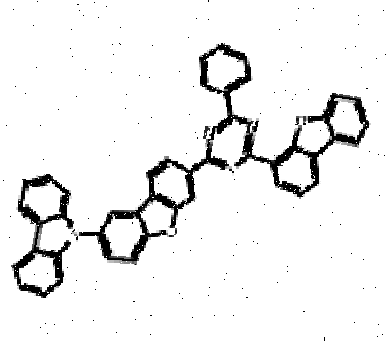 c1ccc(-c2nc(-c3ccc4c(c3)oc3ccc(-n5c6ccccc6c6ccccc65)cc34)nc(-c3cccc4c3oc3ccccc34)n2)cc1